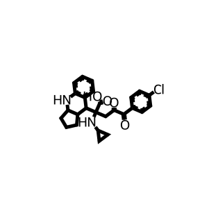 O=C(CC(NC1CC1)(C(=O)O)C1c2ccccc2NC2CCCC21)C(=O)c1ccc(Cl)cc1